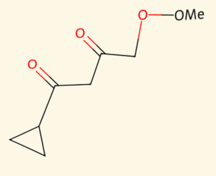 COOCC(=O)CC(=O)C1CC1